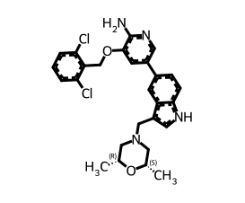 C[C@@H]1CN(Cc2c[nH]c3ccc(-c4cnc(N)c(OCc5c(Cl)cccc5Cl)c4)cc23)C[C@H](C)O1